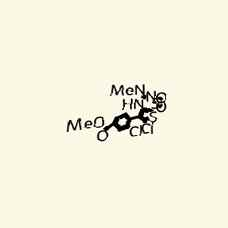 CNC1=NS(=O)(=O)c2sc(Cl)c(-c3ccc(C(=O)OC)cc3Cl)c2N1